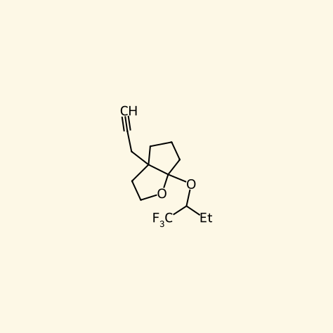 C#CCC12CCCC1(OC(CC)C(F)(F)F)OCC2